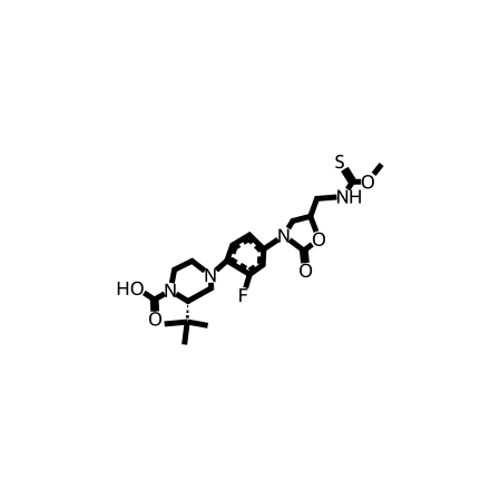 COC(=S)NCC1CN(c2ccc(N3CCN(C(=O)O)[C@@H](C(C)(C)C)C3)c(F)c2)C(=O)O1